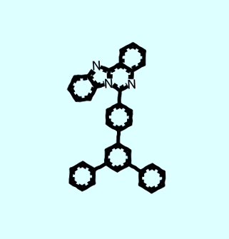 c1ccc(-c2cc(-c3ccccc3)cc(-c3ccc(-c4nc5ccccc5c5nc6ccccc6n45)cc3)c2)cc1